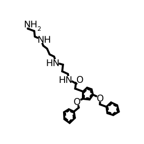 NCCCNCCCCNCCCNC(=O)Cc1ccc(OCc2ccccc2)cc1OCc1ccccc1